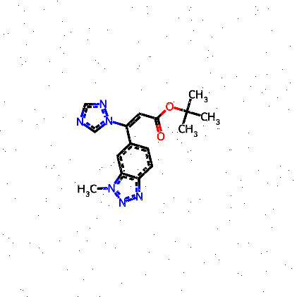 Cn1nnc2ccc(/C(=C\C(=O)OC(C)(C)C)n3cncn3)cc21